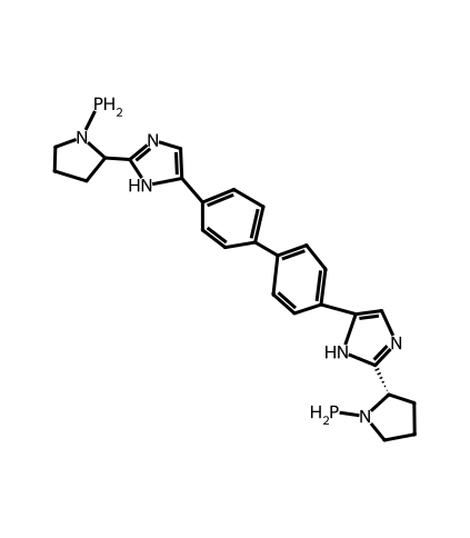 PN1CCCC1c1ncc(-c2ccc(-c3ccc(-c4cnc([C@@H]5CCCN5P)[nH]4)cc3)cc2)[nH]1